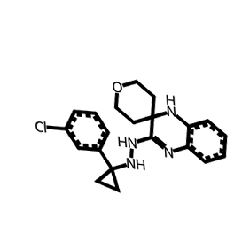 Clc1cccc(C2(NNC3=Nc4ccccc4NC34CCOCC4)CC2)c1